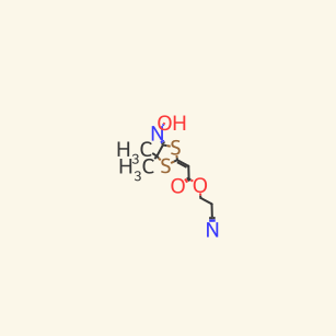 CC1(C)SC(=CC(=O)OCCC#N)SC1=NO